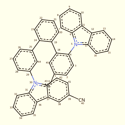 N#Cc1ccc(-n2c3ccccc3c3ccccc32)c(-c2ccccc2-c2cccc(-n3c4ccccc4c4cc(C#N)ccc43)c2)c1